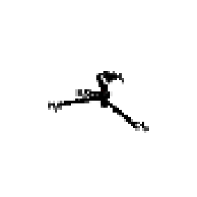 CCCCCCCCCCCCCCCCCC1=C(c2cccc(CCCCCCCCCCCCCCC)c2)[N+](=[N-])C(c2cccc(CCCC)c2)=C1CCCCC.C[CH2][Ni][CH2]C